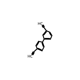 C#Cc1ccc(-c2cccc(C#C)c2)cc1